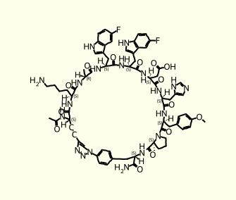 COc1ccc(C[C@@H]2NC(=O)[C@H](Cc3cnc[nH]3)NC(=O)[C@H](CC(=O)O)NC(=O)[C@H](Cc3c[nH]c4ccc(F)cc34)NC(=O)[C@H](Cc3c[nH]c4ccc(F)cc34)NC(=O)[C@@H](C)NC(=O)[C@H](CCCCN)NC(=O)[C@@H](NC(C)=O)CCc3cn(nn3)-c3ccc(cc3)C[C@@H](C(N)=O)NC(=O)[C@]3(C)CCCN3C2=O)cc1